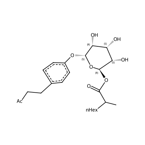 CCCCCCC(C)C(=O)O[C@H]1O[C@H](Oc2ccc(CCC(C)=O)cc2)[C@H](O)[C@H](O)[C@@H]1O